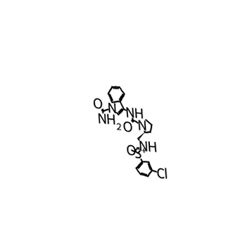 NC(=O)n1cc(NC(=O)N2CCC[C@H]2CN[S+]([O-])c2cccc(Cl)c2)c2ccccc21